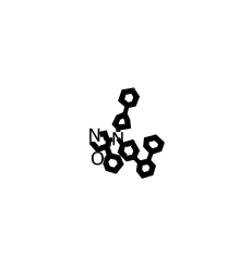 c1ccc(-c2ccc(N(c3ccc(-c4ccccc4-c4ccccc4)cc3)c3cncc4oc5ccccc5c34)cc2)cc1